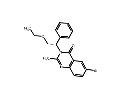 CCOC[C@H](c1ccccc1)n1c(C)nc2ccc(Br)cc2c1=O